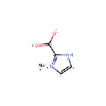 O=C([O-])c1ncc[nH]1.[Na+]